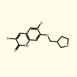 CCc1cc2cc(Cl)c(OCC3CCOC3)cc2[nH]c1=O